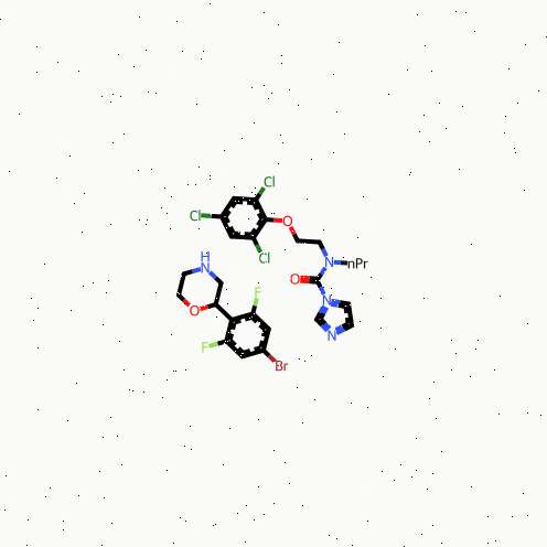 CCCN(CCOc1c(Cl)cc(Cl)cc1Cl)C(=O)n1ccnc1.Fc1cc(Br)cc(F)c1C1CNCCO1